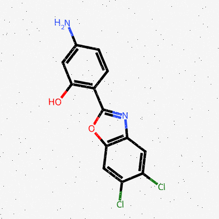 Nc1ccc(-c2nc3cc(Cl)c(Cl)cc3o2)c(O)c1